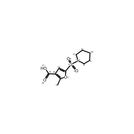 Cc1oc(S(=O)(=O)N2CCCCC2)cc1C(=O)O